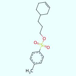 Cc1ccc(S(=O)(=O)OCCCC2CC=CCC2)cc1